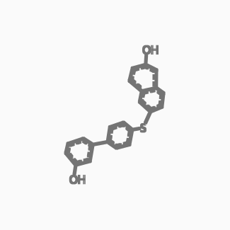 Oc1cccc(-c2ccc(Sc3ccc4cc(O)ccc4c3)cc2)c1